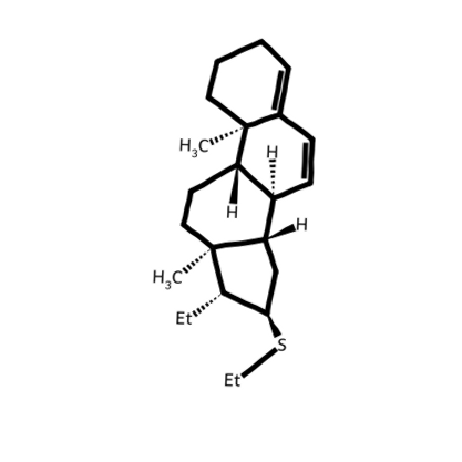 CCS[C@@H]1C[C@H]2[C@@H]3C=CC4=CCCC[C@]4(C)[C@H]3CC[C@]2(C)[C@H]1CC